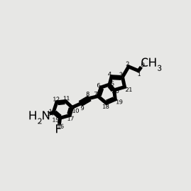 CCCC1=Cc2cc(C#Cc3ccc(N)c(F)c3)ccc2C1